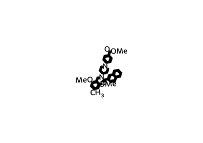 COC(=O)c1ccc(N2CCC(N(Cc3c(OC)cc(C)cc3OC)C(=O)c3ccc4ccccc4c3)CC2)cc1